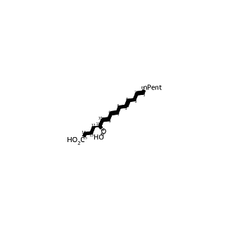 CCCCCC=CCC=CCC=CC=C[C@H](CCCC(=O)O)OO